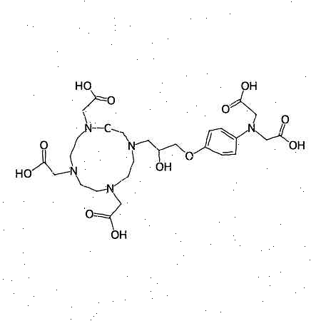 O=C(O)CN1CCN(CC(=O)O)CCN(CC(O)COc2ccc(N(CC(=O)O)CC(=O)O)cc2)CCN(CC(=O)O)CC1